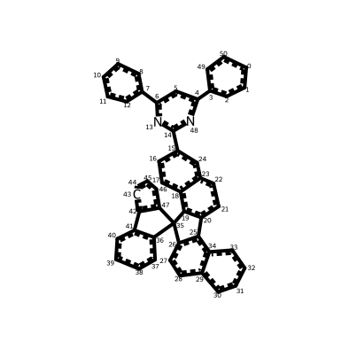 c1ccc(-c2cc(-c3ccccc3)nc(-c3ccc4c5c(ccc4c3)-c3c(ccc4ccccc34)C53c4ccccc4-c4ccccc43)n2)cc1